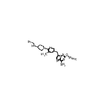 CCCC(C)Oc1nc(N)c2ncc(Cc3cnc(N4CCC(NCC(C)C)CC4)c(C)c3)n2n1